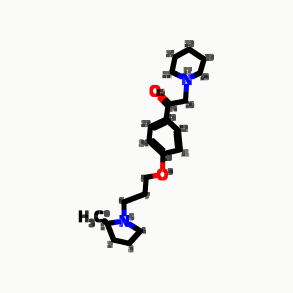 CC1CCCN1CCCOc1ccc(C(=O)CN2CCCCC2)cc1